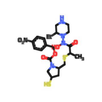 CCC1CNCCN1N(O)C(=O)C(C)SCC1CC(S)CN1C(=O)OCc1ccc([N+](=O)[O-])cc1